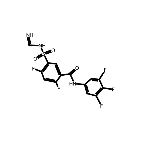 N=CNS(=O)(=O)c1cc(C(=O)Nc2cc(F)c(F)c(F)c2)c(F)cc1F